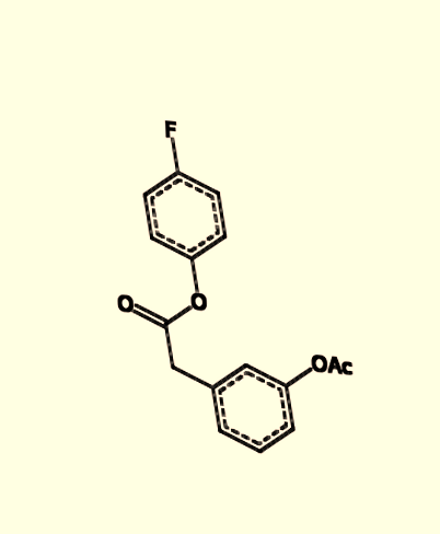 CC(=O)Oc1cccc(CC(=O)Oc2ccc(F)cc2)c1